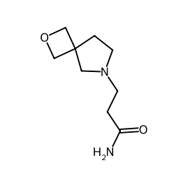 NC(=O)CCN1CCC2(COC2)C1